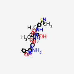 Cc1ncsc1-c1ccc([C@H](C)NC(=O)[C@@H]2C[C@@H](O)CN2C(=O)C(NC(=O)OC2CCN(c3cc(-c4ccccc4O)nnc3N)CC2)C(C)(C)C)cc1